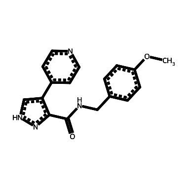 COc1ccc(CNC(=O)c2n[nH]cc2-c2ccncc2)cc1